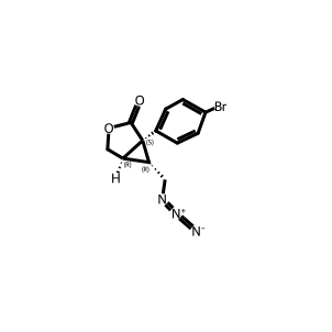 [N-]=[N+]=NC[C@@H]1[C@H]2COC(=O)[C@@]12c1ccc(Br)cc1